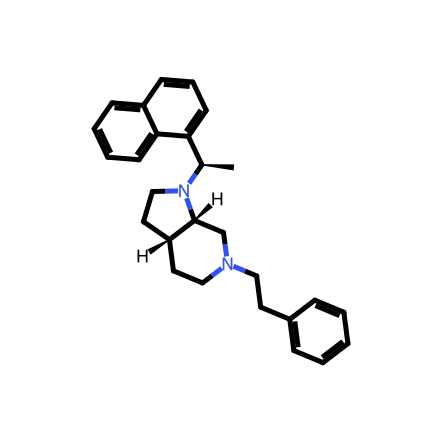 C[C@H](c1cccc2ccccc12)N1CC[C@H]2CCN(CCc3ccccc3)C[C@H]21